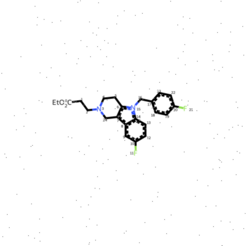 CCOC(=O)CCN1CCc2c(c3cc(F)ccc3n2Cc2ccc(F)cc2)C1